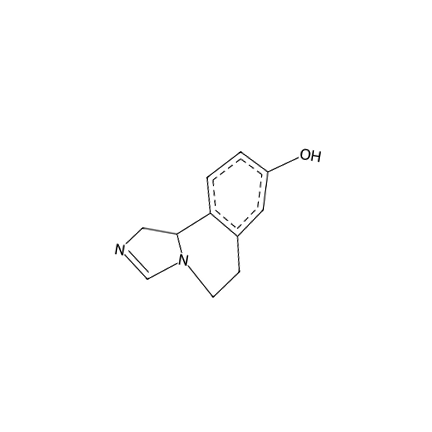 Oc1ccc2c(c1)CCN1C=NCC21